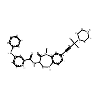 CN1C(=O)[C@H](NC(=O)c2cc(Oc3ccccc3)ccn2)COc2ccc(C#CC(C)(C)N3CCOCC3)cc21